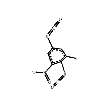 O=C=Nc1cc(I)c(N=C=O)c([N+](=O)[O-])c1